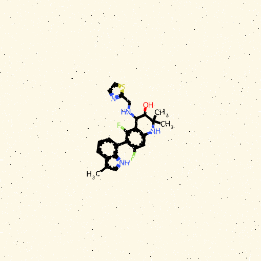 Cc1c[nH]c2c(-c3c(F)cc4c(c3F)C(NCc3nccs3)C(O)C(C)(C)N4)cccc12